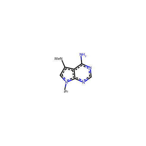 CNc1cn(C(C)C)c2ncnc(N)c12